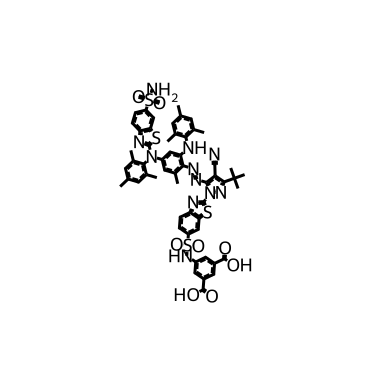 Cc1cc(C)c(Nc2cc(N(c3nc4ccc(S(N)(=O)=O)cc4s3)c3c(C)cc(C)cc3C)cc(C)c2N=Nc2c(C#N)c(C(C)(C)C)nn2-c2nc3ccc(S(=O)(=O)Nc4cc(C(=O)O)cc(C(=O)O)c4)cc3s2)c(C)c1